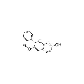 CCOC1=Cc2ccc(O)cc2OC1c1ccccc1